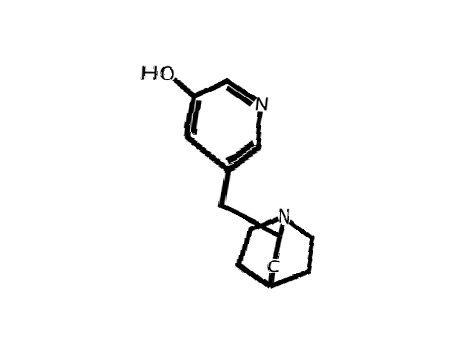 Oc1cncc(CC2CC3CCN2CC3)c1